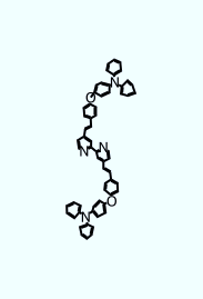 C(=C\c1ccnc(-c2cc(/C=C/c3ccc(Oc4ccc(N(c5ccccc5)c5ccccc5)cc4)cc3)ccn2)c1)/c1ccc(Oc2ccc(N(c3ccccc3)c3ccccc3)cc2)cc1